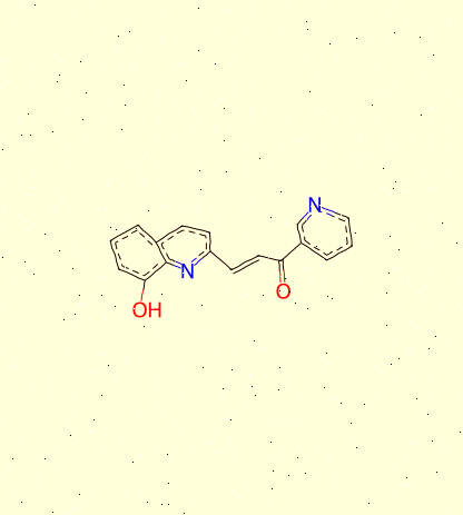 O=C(/C=C/c1ccc2cccc(O)c2n1)c1cccnc1